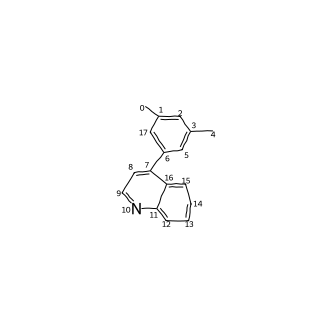 Cc1cc(C)cc(-c2ccnc3ccccc23)c1